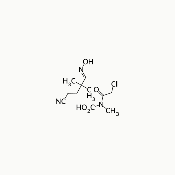 CC(C)(C=NO)CCC#N.CN(C(=O)O)C(=O)CCl